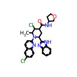 CC1C(Cl)C(C(=O)NC2CCOC2)CC(c2nc3ccccc3[nH]2)N1c1ccc2cc(Cl)ccc2n1